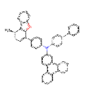 C[C@@H]1CC=C(c2ccc(N(c3ccc(-c4ccccc4)cc3)c3ccc4c5ccccc5c5ccccc5c4c3)cc2)c2oc3ccccc3c21